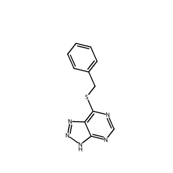 c1ccc(CSc2ncnc3[nH]nnc23)cc1